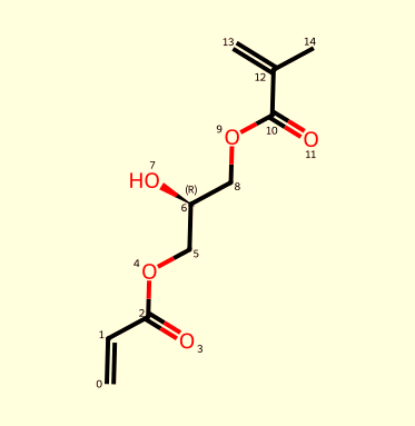 C=CC(=O)OC[C@@H](O)COC(=O)C(=C)C